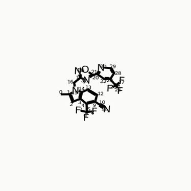 Cc1cc2c(C(F)(F)F)c(C#N)ccc2n1Cc1noc(-c2cc(C(F)(F)F)ccn2)n1